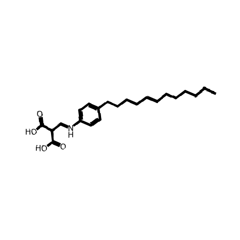 CCCCCCCCCCCCc1ccc(NCC(C(=O)O)C(=O)O)cc1